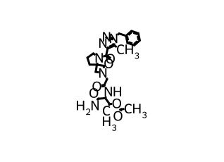 CC(=O)OC(C)C(NC(=O)CN1CC2(CCCN2C(=O)c2nnn(Cc3ccccc3)c2C)C1=O)C(N)=O